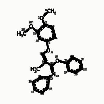 COc1ccc(OC=C(C)C(=Nc2ccccc2)Oc2ccccc2)cc1OC